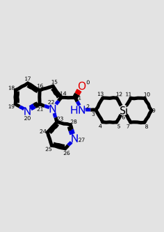 O=C(NC1CC[Si]2(CCCCC2)CC1)c1cc2cccnc2n1-c1cccnc1